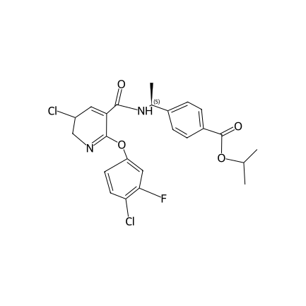 CC(C)OC(=O)c1ccc([C@H](C)NC(=O)C2=CC(Cl)CN=C2Oc2ccc(Cl)c(F)c2)cc1